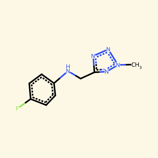 Cn1nnc(CNc2ccc(F)cc2)n1